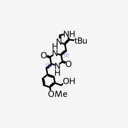 COc1ccc(/C=c2\[nH]c(=O)/c(=C/c3nc[nH]c3C(C)(C)C)[nH]c2=O)cc1CO